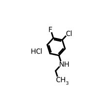 CCNc1ccc(F)c(Cl)c1.Cl